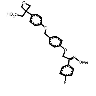 CON=C(COc1ccc(COc2ccc(C3(CC(=O)O)COC3)cc2)cc1)c1ccc(F)cc1